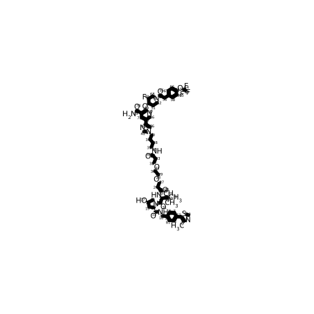 Cc1ncsc1-c1ccc(CNC(=O)[C@@H]2C[C@@H](O)CN2C(=O)[C@@H](NC(=O)CCOCCOCCC(=O)NCCCCn2cnc(-c3cnc(O[C@@H]4CCN(C(=O)Cc5ccc(OC(F)(F)F)cc5)C[C@H]4F)c(C(N)=O)c3)c2)C(C)(C)C)cc1